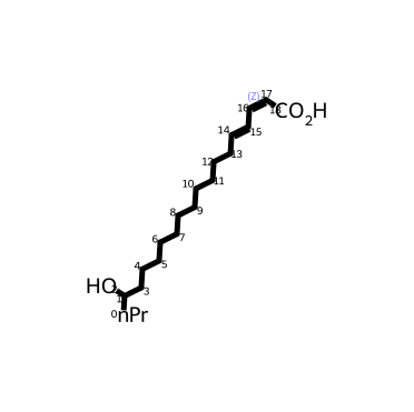 CCCC(O)CCCCCCCCCCCC=C/C=C\C(=O)O